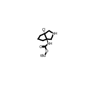 CC(C)(C)OC(=O)N[C@@]12CCC[C@@]1(Cl)CNC2